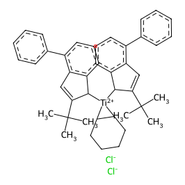 CC(C)(C)C1=Cc2c(-c3ccccc3)cccc2[CH]1[Ti+2]1([CH]2C(C(C)(C)C)=Cc3c(-c4ccccc4)cccc32)[CH]2CCCC[CH]21.[Cl-].[Cl-]